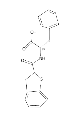 O=C(N[C@@H](Cc1ccccc1)C(=O)O)C1Cc2ccccc2S1